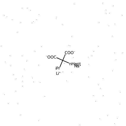 CCCCCCCC(C(=O)[O-])(C(=O)[O-])C(C)C.[Li+].[Na+]